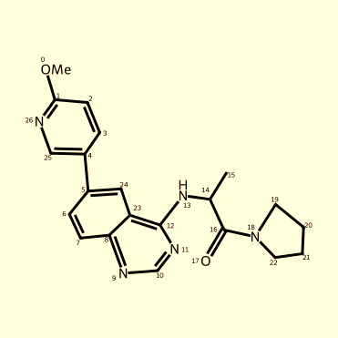 COc1ccc(-c2ccc3ncnc(NC(C)C(=O)N4CCCC4)c3c2)cn1